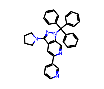 c1ccc(C(c2ccccc2)(c2ccccc2)n2nc(N3CCCC3)c3cc(-c4cccnc4)ncc32)cc1